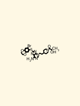 C[C@H](O)C(=O)N1CCC(CCn2cnc(N)c3nc(Sc4cc5c(cc4Br)OCCO5)nc2-3)CC1